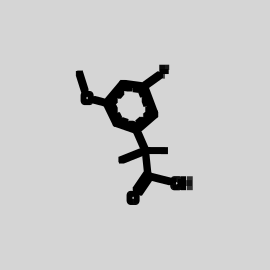 COc1cc(F)cc(C(C)(C)C(=O)O)c1